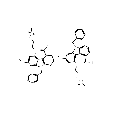 COc1cc(OCCNS(C)(=O)=O)c2c3c(C(N)=O)cccc3n(Cc3ccccc3)c2c1.COc1cc(OCCNS(C)(=O)=O)c2c3c(n(Cc4ccccc4)c2c1)CCCC3C(N)=O